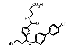 CC(C)CCC(Oc1ccc(-c2ccc(C(F)(F)F)cc2)cc1)c1ccc(C(=O)NCCC(=O)O)s1